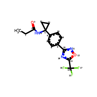 CCC(=O)NC1(c2ccc(-c3noc(C(F)(F)F)n3)cc2)CC1